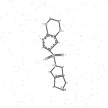 O=S(=O)(c1cnc2c(c1)OCCO2)N1CC2=C(CNC2)C1